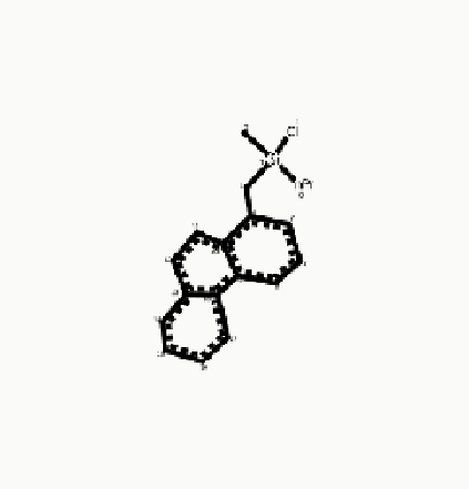 CCC[Si](C)(Cl)Cc1cccc2c1ccc1ccccc12